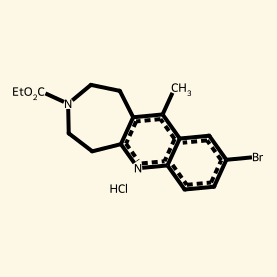 CCOC(=O)N1CCc2nc3ccc(Br)cc3c(C)c2CC1.Cl